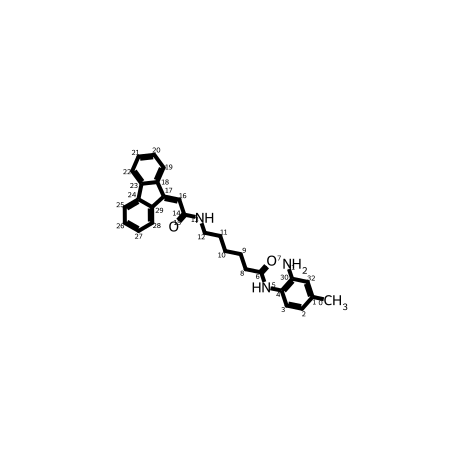 Cc1ccc(NC(=O)CCCCCNC(=O)C=C2c3ccccc3-c3ccccc32)c(N)c1